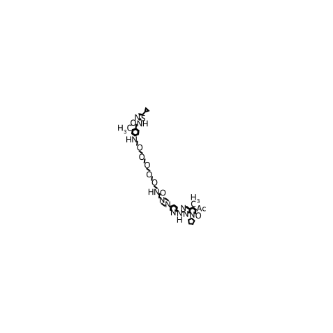 CC(=O)c1c(C)c2cnc(Nc3ccc(N4CCN(CC(=O)NCCOCCOCCOCCOCCOCCNc5ccc(C(=O)Nc6ncc(C7CC7)s6)c(C)c5)CC4)cn3)nc2n(C2CCCC2)c1=O